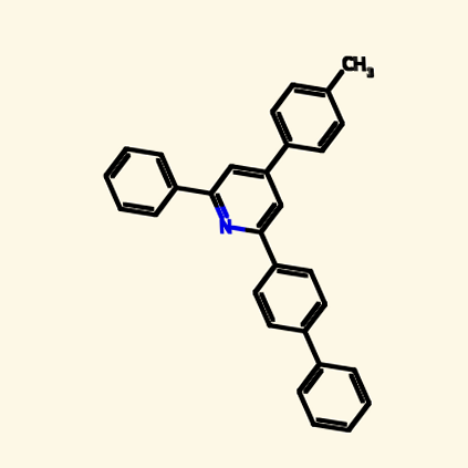 Cc1ccc(-c2cc(-c3ccccc3)nc(-c3ccc(-c4ccccc4)cc3)c2)cc1